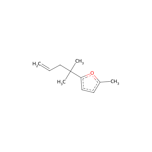 C=CCC(C)(C)c1ccc(C)o1